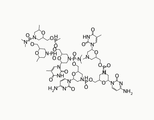 Cc1cn(C2CN(C)CC(CO[PH](=O)N3CC(CO[PH](=O)N4CC(COP(=O)(N(C)C)N5CC(CO[PH](=O)N6CC(C)OC(COP(=O)(N(C)C)N7CC(C)OC(CO[PH](C)=O)C7)C6)OC(n6cc(C)c(=O)[nH]c6=O)C5)OC(n5ccc(N)nc5=O)C4)OC(n4ccc(N)nc4=O)C3)O2)c(=O)[nH]c1=O